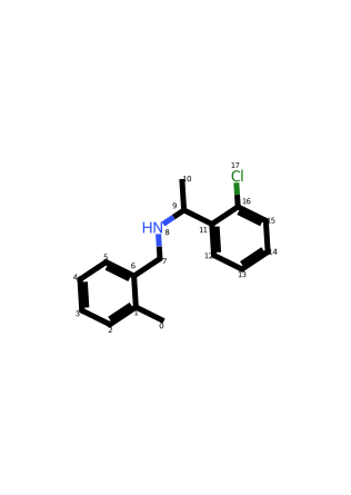 Cc1ccccc1CNC(C)c1ccccc1Cl